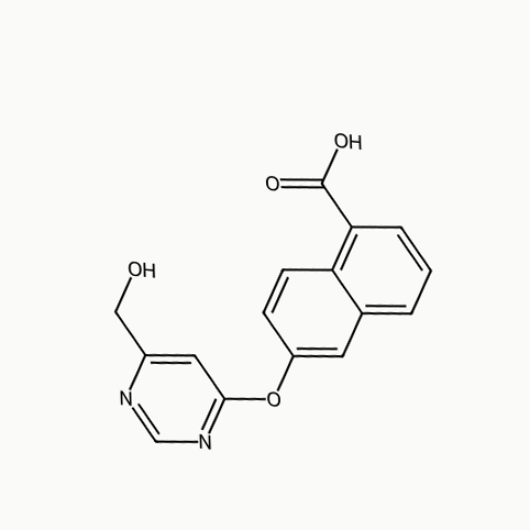 O=C(O)c1cccc2cc(Oc3cc(CO)ncn3)ccc12